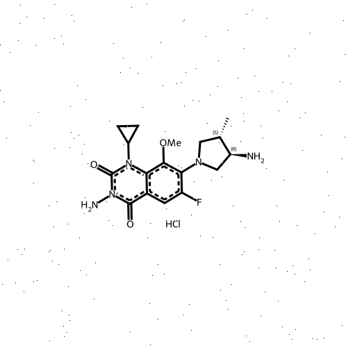 COc1c(N2C[C@H](C)[C@@H](N)C2)c(F)cc2c(=O)n(N)c(=O)n(C3CC3)c12.Cl